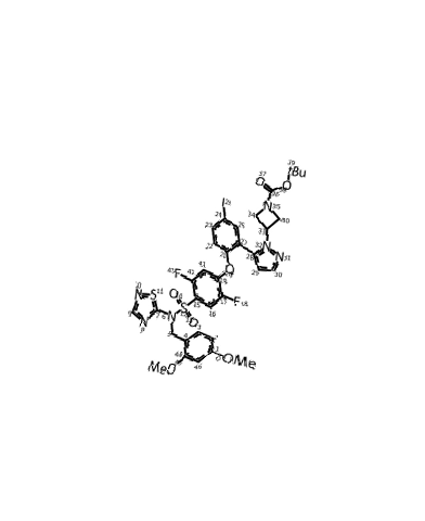 COc1ccc(CN(c2ncns2)S(=O)(=O)c2cc(F)c(Oc3ccc(I)cc3-c3ccnn3C3CN(C(=O)OC(C)(C)C)C3)cc2F)c(OC)c1